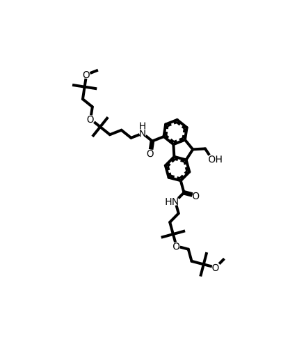 COC(C)(C)CCOC(C)(C)CCCNC(=O)c1cccc2c1-c1ccc(C(=O)NCCC(C)(C)OCCC(C)(C)OC)cc1C2CO